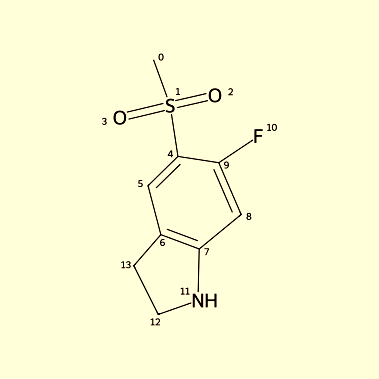 CS(=O)(=O)c1cc2c(cc1F)NCC2